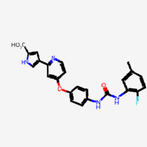 Cc1ccc(F)c(NC(=O)Nc2ccc(Oc3ccnc(-c4c[nH]c(C(=O)O)c4)c3)cc2)c1